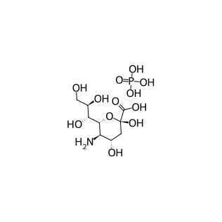 N[C@H]1[C@H]([C@H](O)[C@H](O)CO)O[C@](O)(C(=O)O)C[C@@H]1O.O=P(O)(O)O